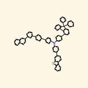 c1ccc(C2(c3ccccc3)c3ccccc3-c3c(-c4ccc(N(c5ccc(-c6ccc(-c7cccc(-c8ccc9ccccc9c8)c7)cc6)cc5)c5ccc(-c6ccc7c(c6)sc6ccccc67)cc5)cc4)cccc32)cc1